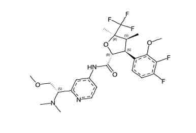 COC[C@H](c1cc(NC(=O)[C@@H]2O[C@@](C)(C(F)(F)F)[C@@H](C)[C@H]2c2ccc(F)c(F)c2OC)ccn1)N(C)C